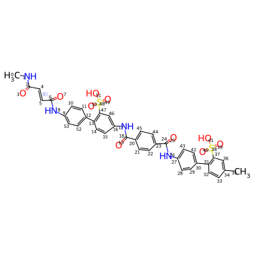 CNC(=O)/C=C/C(=O)Nc1ccc(-c2ccc(NC(=O)c3ccc(C(=O)Nc4ccc(-c5ccc(C)cc5S(=O)(=O)O)cc4)cc3)cc2S(=O)(=O)O)cc1